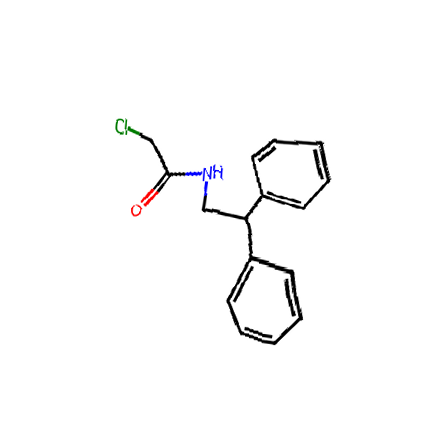 O=C(CCl)NCC(c1ccccc1)c1ccccc1